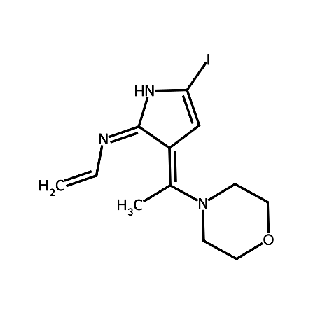 C=C/N=C1/NC(I)=C/C1=C(/C)N1CCOCC1